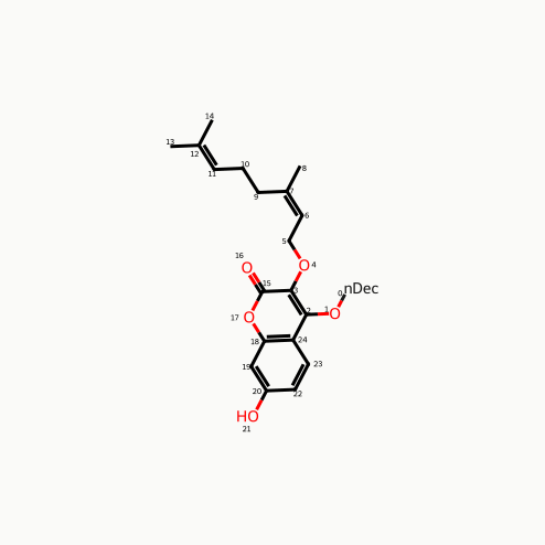 CCCCCCCCCCOc1c(OCC=C(C)CCC=C(C)C)c(=O)oc2cc(O)ccc12